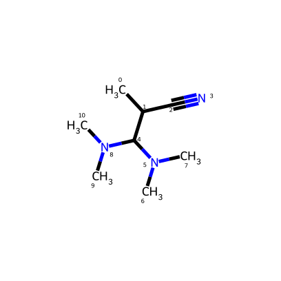 CC(C#N)C(N(C)C)N(C)C